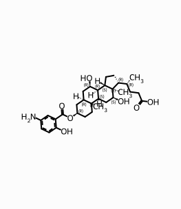 C[C@H](CCC(=O)O)[C@H]1CC[C@H]2[C@@H]3[C@H](O)C[C@@H]4C[C@H](OC(=O)c5cc(N)ccc5O)CC[C@]4(C)[C@H]3C[C@H](O)[C@]12C